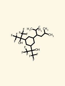 CC(C)CC(C(C)C)C1CC(C(O)(C(F)(F)F)C(F)(F)F)CC(C(O)(C(F)(F)F)C(F)(F)F)C1